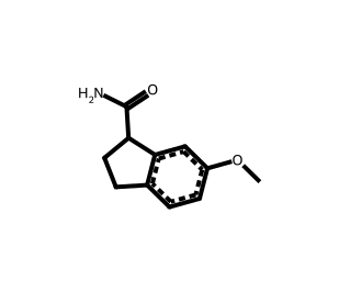 COc1ccc2c(c1)C(C(N)=O)CC2